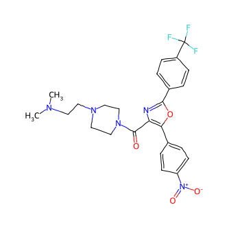 CN(C)CCN1CCN(C(=O)c2nc(-c3ccc(C(F)(F)F)cc3)oc2-c2ccc([N+](=O)[O-])cc2)CC1